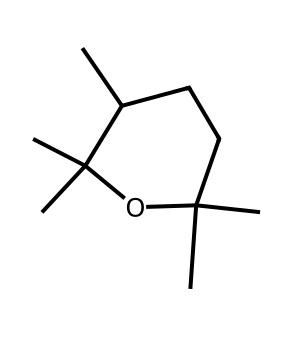 CC1CCC(C)(C)OC1(C)C